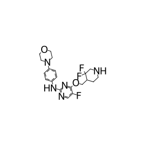 Fc1cnc(Nc2ccc(N3CCOCC3)cc2)nc1OCC1CCNCC1(F)F